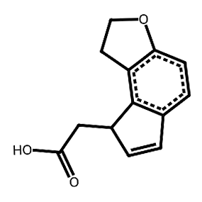 O=C(O)CC1C=Cc2ccc3c(c21)CCO3